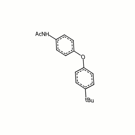 CC(=O)Nc1ccc(Oc2ccc(C(C)(C)C)cc2)cc1